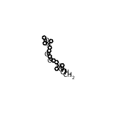 C=C/C=C\c1c(C)oc2c(N(c3ccccc3)c3ccc4cc5c(cc4c3)oc3cc4oc6cc7cc(N(c8ccccc8)c8cccc9c8oc8ccccc89)ccc7cc6c4cc35)cccc12